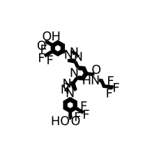 O=C(NCCC(F)(F)F)c1cc(-c2cn(-c3ccc(C(=O)O)c(C(F)(F)F)c3)nn2)nc(-c2cn(-c3ccc(C(=O)O)c(C(F)(F)F)c3)nn2)c1